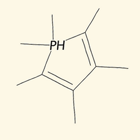 CC1=C(C)[PH](C)(C)C(C)=C1C